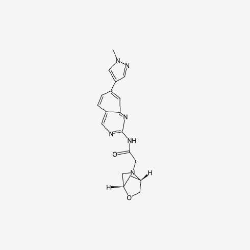 Cn1cc(-c2ccc3cnc(NC(=O)CN4C[C@@H]5C[C@H]4CO5)nc3c2)cn1